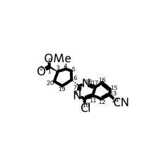 COC(=O)[C@H]1CC[C@H](c2nc(Cl)c3cc(C#N)ccc3n2)CC1